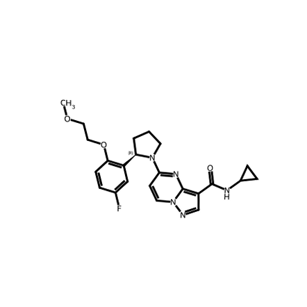 COCCOc1ccc(F)cc1[C@H]1CCCN1c1ccn2ncc(C(=O)NC3CC3)c2n1